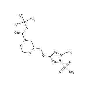 Cc1nc(OCC2CN(C(=O)OC(C)(C)C)CCO2)sc1S(N)(=O)=O